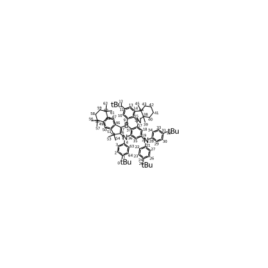 CC(C)(C)c1ccc(N2C3=C(B4c5cc(C(C)(C)C)cc6c5N(c5cc(N(c7ccc(C(C)(C)C)cc7)c7ccc(C(C)(C)C)cc7)cc2c54)C2(C)CCCCC62C)c2cc4c(cc2C3(C)C)C(C)(C)CCC4(C)C)cc1